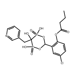 CCCC(=O)Oc1ccc(Cl)cc1C1OP(=O)(O)C(O)(Cc2cccnc2)P(=O)(O)O1